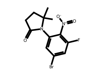 CC1(C)CCC(=O)N1c1cc(Br)cc(F)c1[N+](=O)[O-]